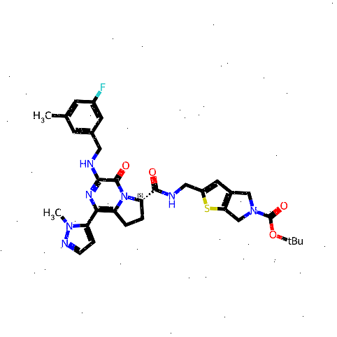 Cc1cc(F)cc(CNc2nc(-c3ccnn3C)c3n(c2=O)[C@H](C(=O)NCc2cc4c(s2)CN(C(=O)OC(C)(C)C)C4)CC3)c1